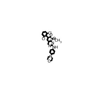 COn1c(=O)c(-c2c(Cl)cccc2Cl)cc2cnc(Nc3ccc(N4CCOCC4)cc3)nc21